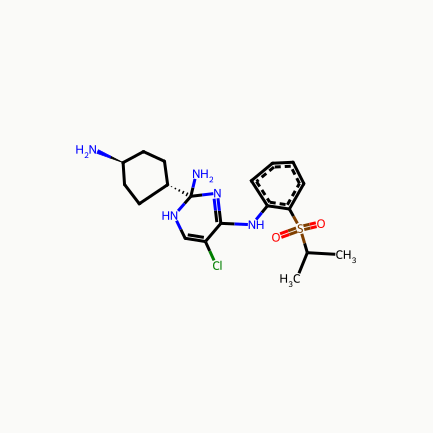 CC(C)S(=O)(=O)c1ccccc1NC1=NC(N)([C@H]2CC[C@H](N)CC2)NC=C1Cl